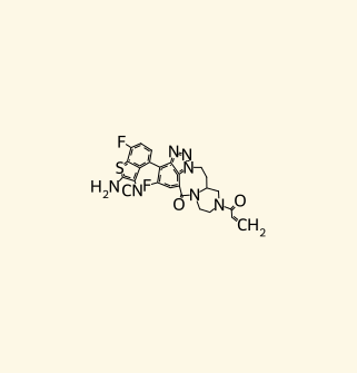 C=CC(=O)N1CCN2C(=O)c3cc(F)c(-c4ccc(F)c5sc(N)c(C#N)c45)c4nnn(c34)CCC2C1